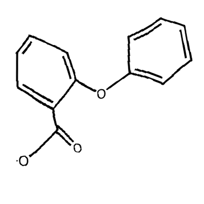 [O]C(=O)c1ccccc1Oc1ccccc1